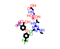 CCNc1nc(Cl)nc(NC(C)C)n1.O=C(O)CNCP(=O)(O)O.O=C(O)c1cc(Oc2ccc(C(F)(F)F)cc2Cl)ccc1[N+](=O)[O-]